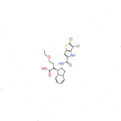 CCOCCC(C(=O)O)[C@@H]1C2C=CC=CC2C[C@H]1NC(=O)c1cc2sc(Cl)c(Cl)c2[nH]1